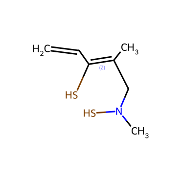 C=C/C(S)=C(\C)CN(C)S